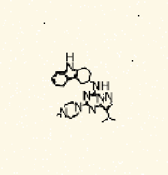 CC(C)c1cnn2c(N[C@@H]3CCc4[nH]c5ccccc5c4C3)nc(N3CCN(C)CC3)nc12